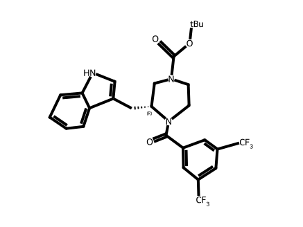 CC(C)(C)OC(=O)N1CCN(C(=O)c2cc(C(F)(F)F)cc(C(F)(F)F)c2)[C@H](Cc2c[nH]c3ccccc23)C1